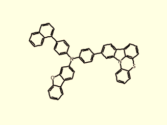 c1ccc2c(c1)Sc1cccc3c4ccc(-c5ccc(N(c6ccc(-c7cccc8ccccc78)cc6)c6ccc7c(c6)oc6ccccc67)cc5)cc4n-2c13